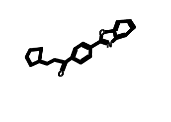 O=C(CCC1CCCC1)c1ccc(-c2nc3ccccc3o2)cc1